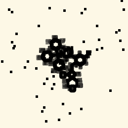 O=C1C(=Cc2ccc(F)cc2-c2cn(C(c3ccccc3)(c3ccccc3)c3ccccc3)cn2)CC12CCOCC2